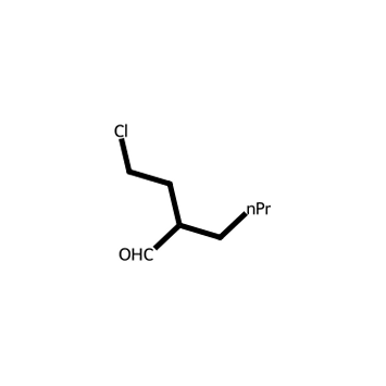 CCCCC(C=O)CCCl